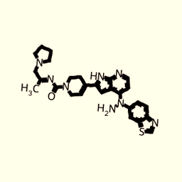 C/C(CN1CCCC1)=N\C(=O)N1CC=C(c2cc3c(N(N)c4ccc5ncsc5c4)ccnc3[nH]2)CC1